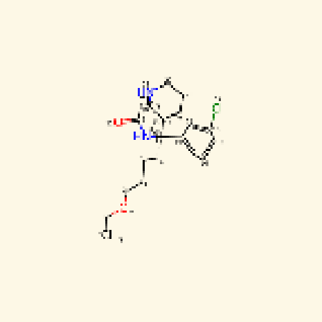 CCOCCCC[C@@](NC(C)=O)(c1cccc(Cl)c1)[C@@H]1CCCNC1